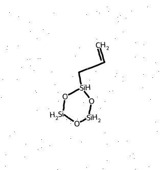 C=CC[SiH]1O[SiH2]O[SiH2]O1